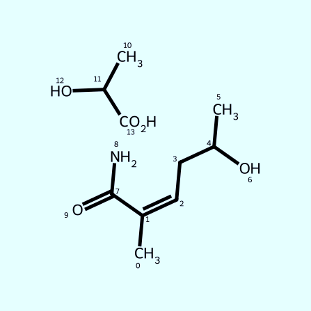 CC(=CCC(C)O)C(N)=O.CC(O)C(=O)O